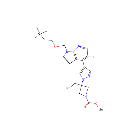 CC(C)(C)OC(=O)N1CC(CC#N)(n2cc(-c3c(F)cnc4c3ccn4COCC[Si](C)(C)C)cn2)C1